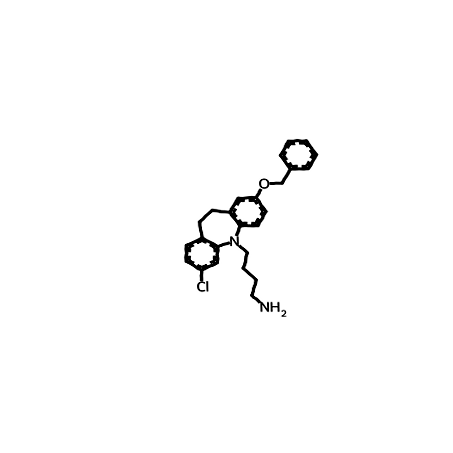 NCCCCN1c2ccc(OCc3ccccc3)cc2CCc2ccc(Cl)cc21